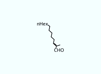 CCCCCCCCCCCC=C(C)C=O